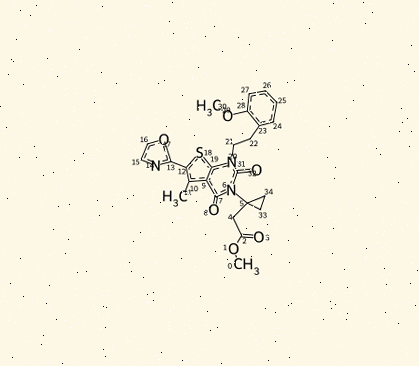 COC(=O)CC1(n2c(=O)c3c(C)c(-c4ncco4)sc3n(CCc3ccccc3OC)c2=O)CC1